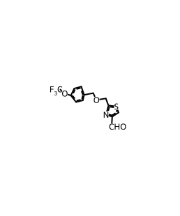 O=Cc1csc(COCc2ccc(OC(F)(F)F)cc2)n1